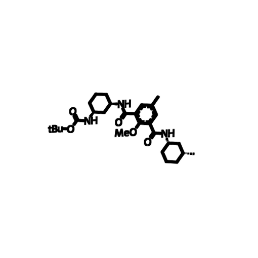 COc1c(C(=O)N[C@@H]2CCC[C@H](NC(=O)OC(C)(C)C)C2)cc(C)cc1C(=O)N[C@H]1CCC[C@@H](C)C1